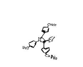 CCc1c(-c2ccc(OC)cc2)nn(-c2ccc(OC)cc2)c1-c1ccc(OC)cc1